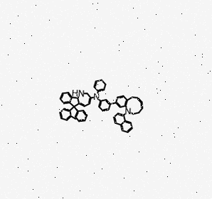 Cc1ccccc1C1(c2ccccc2)C2=CC=C(N(C3=CCCC=C3)c3cccc(-c4ccc5c(c4)N(c4cccc6ccccc46)CCC=C=CC5)c3)CNC2c2ccccc21